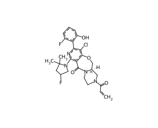 C=CC(=O)N1CCN2C(=O)c3c(N4CC(F)CC4(C)C)nc(-c4c(O)cccc4F)c(Cl)c3OC[C@H]2C1